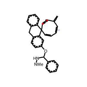 C=C1/C=C\C=CC2(c3ccccc3Cc3ccc(OC(NNC)c4ccccc4)cc32)c2ccccc21